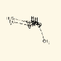 CCCCCCCCCCCCCCCCCCOC(=O)c1ccc(Nc2nc(Nc3ccc(C(=O)OCCCCCCCCCCCCCCCCCC)cc3)nc(Nc3ccc(C(=O)OCCCCCCCCCCCCCCCCCC)cc3)n2)cc1